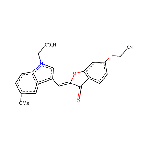 COc1ccc2c(c1)c(/C=C1\Oc3cc(OCC#N)ccc3C1=O)cn2CC(=O)O